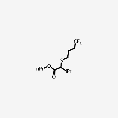 CCCOC(=O)C(SCCCC(F)(F)F)C(C)C